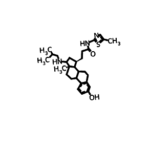 Cc1cnc(NC(=O)CC[C@@H]2CC(NCC(C)C)[C@@]3(C)CCC4c5ccc(O)cc5CCC4C23)s1